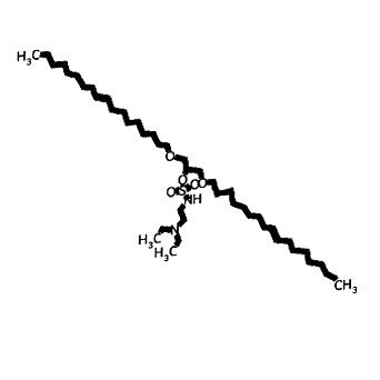 CCCCCCCCC=CCCCCCCCCOCC(COCCCCCCCCC=CCCCCCCCC)OS(=O)(=O)NCCN(CC)CC